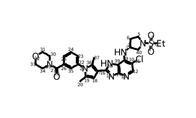 CCS(=O)(=O)N1CC[C@H](Nc2c(Cl)cnc3nc(-c4cc(C)n(-c5cccc(C(=O)N6CCOCC6)c5)c4C)[nH]c23)C1